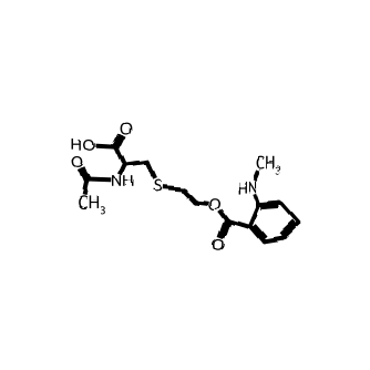 CNc1ccccc1C(=O)OCCSCC(NC(C)=O)C(=O)O